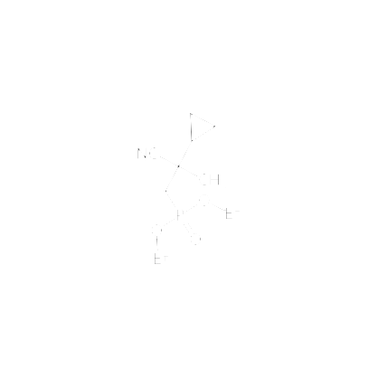 CCOP(=O)(CC(C)(C#N)C1CC1)OCC